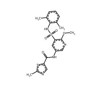 COc1ncc(NC(=O)c2cnc(C)s2)cc1S(=O)(=O)Nc1c(C)cccc1C